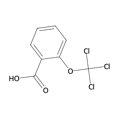 O=C(O)c1ccccc1OC(Cl)(Cl)Cl